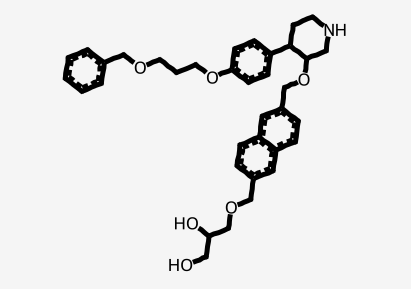 OCC(O)COCc1ccc2cc(COC3CNCCC3c3ccc(OCCCOCc4ccccc4)cc3)ccc2c1